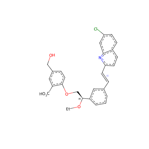 CCO[C@@H](COc1ccc(CO)cc1C(=O)O)c1cccc(/C=C/c2ccc3ccc(Cl)cc3n2)c1